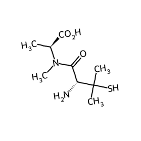 C[C@@H](C(=O)O)N(C)C(=O)[C@@H](N)C(C)(C)S